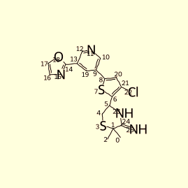 CC1(C)SCC(c2sc(-c3cncc(-c4ncco4)c3)cc2Cl)NC1=N